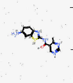 Cc1ncncc1C(=O)Nc1nc2ccc(N)cc2s1